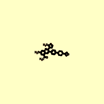 CC(=O)c1cc(C)cc2nc(-c3ccnn3C)c(-c3ccc(N4CCN(C5COC5)CC4)cc3)cc12